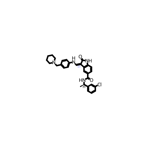 C[C@@H](NC(=O)c1ccc2c(c1)/C(=C/Nc1ccc(CN3CCCCC3)cc1)C(=O)N2)c1cccc(Cl)c1